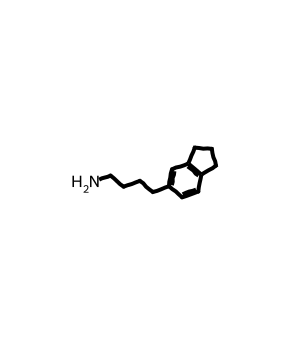 NCCCCc1ccc2c(c1)CCC2